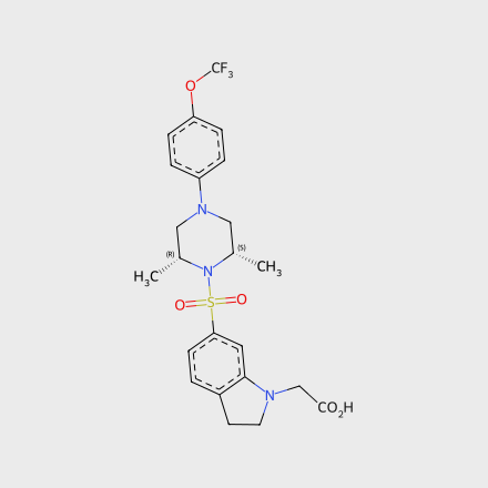 C[C@@H]1CN(c2ccc(OC(F)(F)F)cc2)C[C@H](C)N1S(=O)(=O)c1ccc2c(c1)N(CC(=O)O)CC2